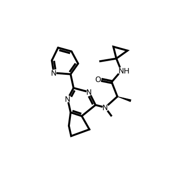 C[C@H](C(=O)NC1(C)CC1)N(C)c1nc(-c2ccccn2)nc2c1CCC2